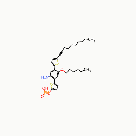 CCCCCCCCC#Cc1ccc(-c2cc(N)c(-c3ccc(O[PH](=O)O)s3)cc2OCCCCCC)s1